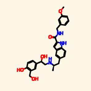 COc1cccc(CNC(=O)c2cc3cc(C[C@@H](C)NC[C@H](O)c4ccc(O)c(CO)c4)ccc3[nH]2)c1